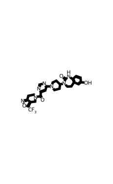 O=C(c1cc(N2CCC(N3CCc4cc(O)ccc4NC3=O)CC2)ncn1)N1CCc2noc(C(F)(F)F)c2C1